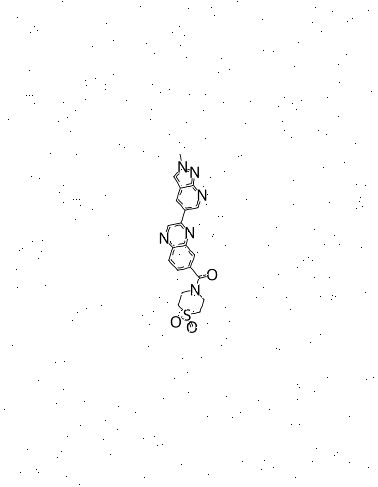 Cn1cc2cc(-c3cnc4ccc(C(=O)N5CCS(=O)(=O)CC5)cc4n3)cnc2n1